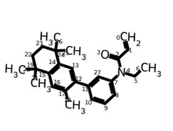 C=CC(=O)N(CC)c1cccc(-c2cc3c(cc2C)C(C)(C)CCC3(C)C)c1